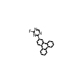 Fc1ncnc(-c2ccc3c4ccccc4c4ccccc4c3c2)n1